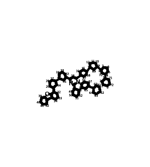 c1ccc(-c2cccc(-c3cccc(-c4ccc(-c5cc(-c6cccc(-c7cccc(-c8cccc9c8oc8ccccc89)c7)c6)nc(-c6ccccc6-c6cccc(-c7ccccc7)c6)n5)cc4)c3)c2)cc1